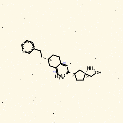 C=C(/C=C1/CC[C@@H](CCc2cccnc2)C/C1=C/C)[C@H]1CC[C@](N)(CO)C1